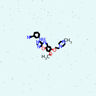 COc1cc2c(cc1OCCN1CCN(C)CC1)C=Nc1c(Nc3cccc(C#N)c3)ncnc1O2